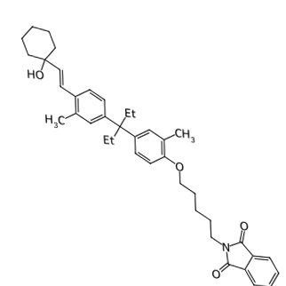 CCC(CC)(c1ccc(/C=C/C2(O)CCCCC2)c(C)c1)c1ccc(OCCCCCN2C(=O)c3ccccc3C2=O)c(C)c1